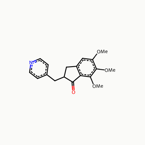 COc1cc2c(c(OC)c1OC)C(=O)C(Cc1ccncc1)C2